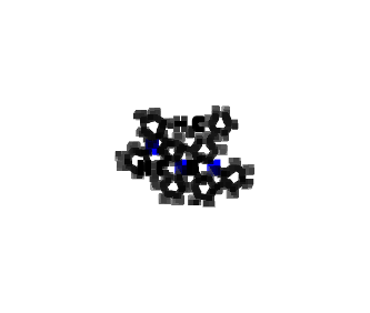 Cc1ccccc1-c1cc2c3c(c1)-n1c4ccccc4c4cccc(c41)B3N(c1ccccc1C)c1cc3c(cc1-2)c1ccccc1n3-c1ccccc1